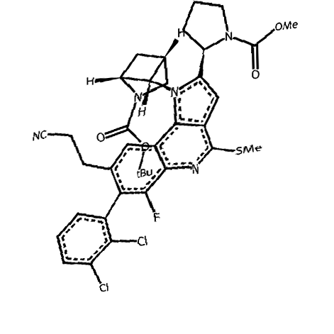 COC(=O)N1CCC[C@@H]1c1cc2c(SC)nc3c(F)c(-c4cccc(Cl)c4Cl)c(CCC#N)cc3c2n1[C@H]1[C@@H]2C[C@H]1N(C(=O)OC(C)(C)C)C2